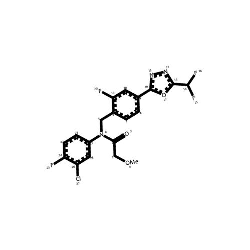 COCC(=O)N(Cc1ccc(-c2nnc(C(F)F)o2)cc1F)c1ccc(F)c(Cl)c1